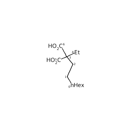 CCCCCCCCC(CC)(C(=O)O)C(=O)O